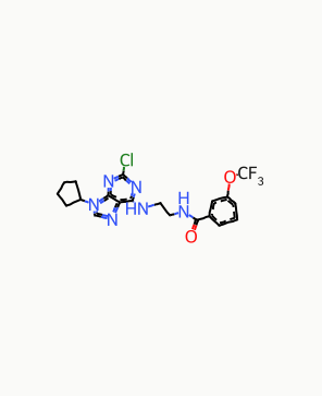 O=C(NCCNc1nc(Cl)nc2c1ncn2C1CCCC1)c1cccc(OC(F)(F)F)c1